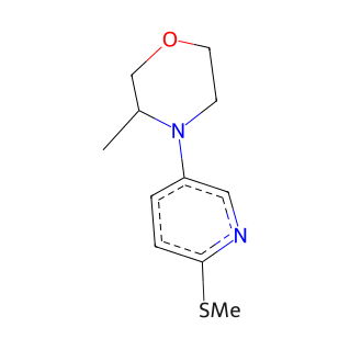 CSc1ccc(N2CCOCC2C)cn1